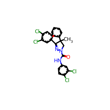 CC1(c2ccccc2)CN(C(=O)Nc2ccc(Cl)c(Cl)c2)N=C1c1ccc(Cl)c(Cl)c1